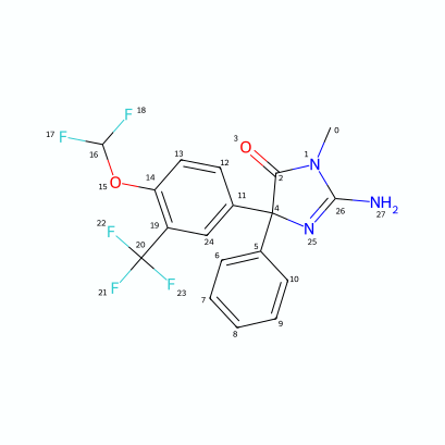 CN1C(=O)C(c2ccccc2)(c2ccc(OC(F)F)c(C(F)(F)F)c2)N=C1N